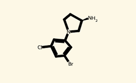 N[C@@H]1CCN(c2cc(Cl)cc(Br)c2)C1